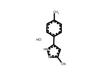 Cc1ccc(-c2cc(C#N)n[nH]2)cc1.Cl